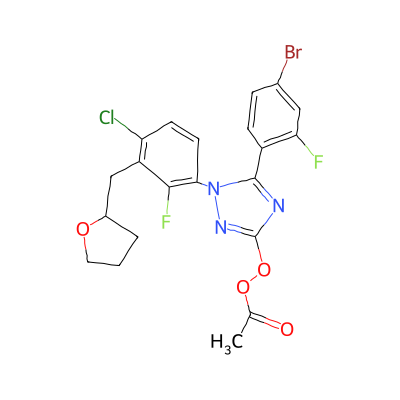 CC(=O)OOc1nc(-c2ccc(Br)cc2F)n(-c2ccc(Cl)c(CC3CCCO3)c2F)n1